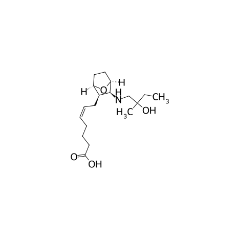 CCC(C)(O)CN[C@H]1[C@@H](C/C=C\CCCC(=O)O)[C@H]2CC[C@@H]1O2